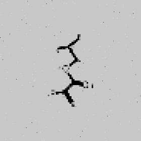 C=C(F)C(=O)OCC(C)C